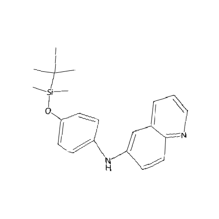 CC(C)(C)[Si](C)(C)Oc1ccc(Nc2ccc3ncccc3c2)cc1